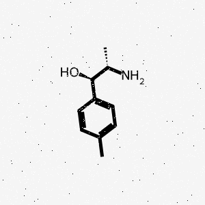 Cc1ccc([C@@H](O)[C@H](C)N)cc1